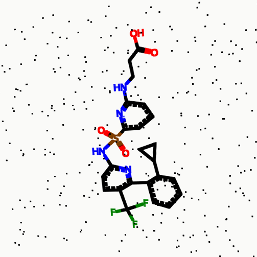 O=C(O)CCNc1cccc(S(=O)(=O)Nc2ccc(C(F)(F)F)c(-c3ccccc3C3CC3)n2)n1